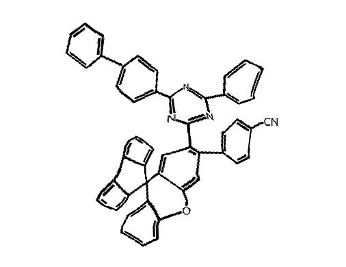 N#Cc1ccc(-c2cc3c(cc2-c2nc(-c4ccccc4)nc(-c4ccc(-c5ccccc5)cc4)n2)C2(c4ccccc4O3)c3ccccc3-c3ccccc32)cc1